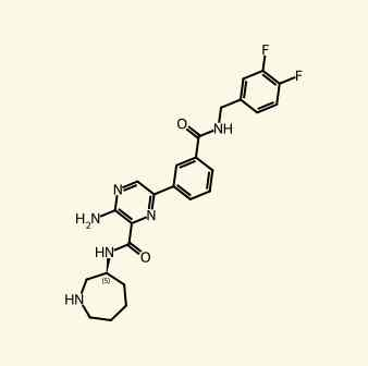 Nc1ncc(-c2cccc(C(=O)NCc3ccc(F)c(F)c3)c2)nc1C(=O)N[C@H]1CCCCNC1